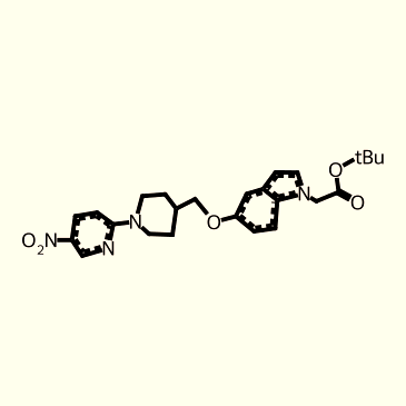 CC(C)(C)OC(=O)Cn1ccc2cc(OCC3CCN(c4ccc([N+](=O)[O-])cn4)CC3)ccc21